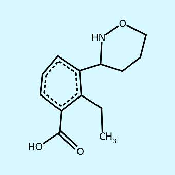 CCc1c(C(=O)O)cccc1C1CCCON1